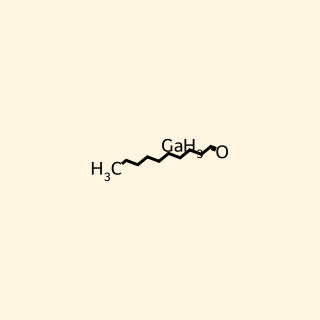 CCCCCCCCCC=O.[GaH3]